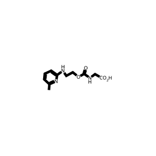 Cc1cccc(NCCOC(=O)NCC(=O)O)n1